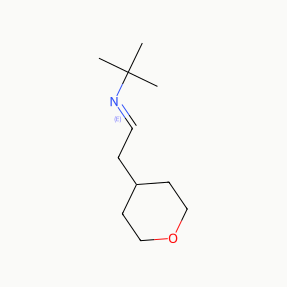 CC(C)(C)/N=C/CC1CCOCC1